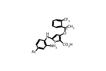 CC(=O)c1ccc(Nc2cc(O[C@H](C)c3ccccc3C(F)(F)F)c(C(=O)O)s2)c(N)c1